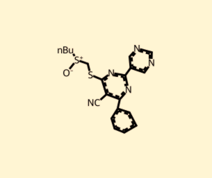 CCCC[S+]([O-])CSc1nc(-c2cncnc2)nc(-c2ccccc2)c1C#N